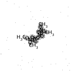 Cc1ccc(N2c3ccc(C)cc3B3c4c2cccc4-n2c4cc5c(cc4c4cccc3c42)c2cccc3c2n5-c2cccc4c2B3c2cc(C)ccc2N4c2ccc(C)cc2)cc1